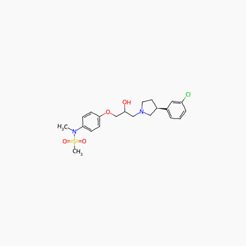 CN(c1ccc(OCC(O)CN2CC[C@@H](c3cccc(Cl)c3)C2)cc1)S(C)(=O)=O